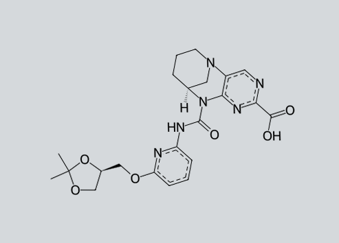 CC1(C)OC[C@H](COc2cccc(NC(=O)N3c4nc(C(=O)O)ncc4N4CCC[C@H]3C4)n2)O1